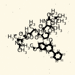 COc1ccc2c(O[C@@H]3C[C@@H](C(=O)N[C@@H](C)C(=O)NS(=O)(=O)c4sc(C)nc4C)N(C(=O)[C@@H](NC(=O)OC(C)(C)C)C(C)(C)C)C3)cc(-c3ccccc3)nc2c1